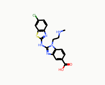 CNCCn1c(Nc2nc3ccc(Cl)cc3s2)nc2cc(C(=O)O)ccc21